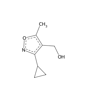 Cc1onc(C2CC2)c1CO